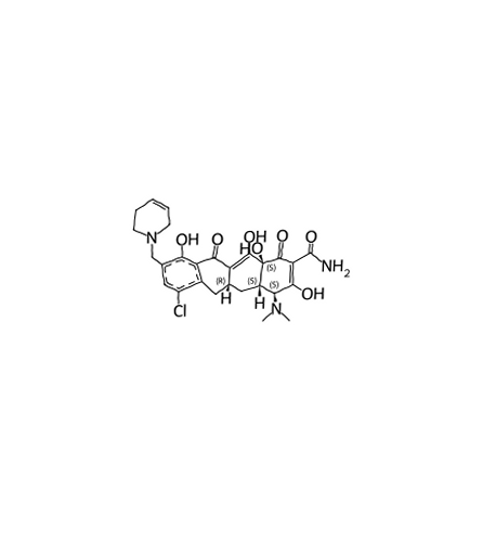 CN(C)[C@@H]1C(O)=C(C(N)=O)C(=O)[C@@]2(O)C(O)=C3C(=O)c4c(O)c(CN5CC=CCC5)cc(Cl)c4C[C@H]3C[C@@H]12